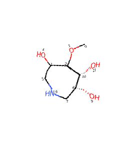 COC1C(O)CNC[C@@H](O)[C@H]1O